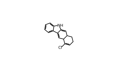 ClC1=CCCC2C=c3[nH]c4ccccc4c3=CC12